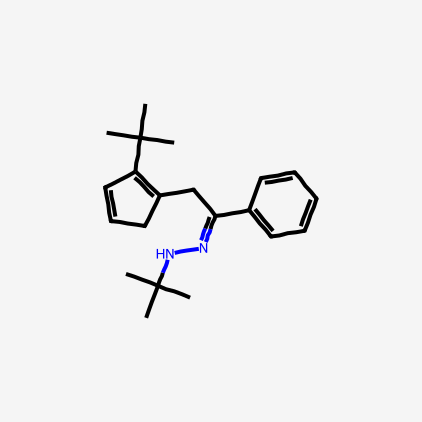 CC(C)(C)NN=C(CC1=C(C(C)(C)C)C=CC1)c1ccccc1